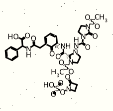 CS(=O)(=O)N1CCN(C(=O)NN2CCN(S(C)(=O)=O)[C@@H]2C(=O)N[C@H]2C=CC=C(CC(=O)NC(C(=O)O)c3ccccc3)C2=O)C1=O.O=C1CCN1OS(=O)(=O)O